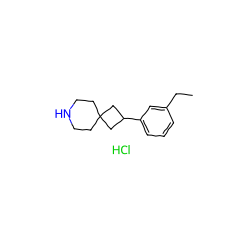 CCc1cccc(C2CC3(CCNCC3)C2)c1.Cl